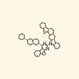 c1ccc(-c2ccc3cc(-c4nc(-n5c6ccccc6c6cc7ccc8c9ccccc9sc8c7cc65)nc5oc6ccccc6c45)ccc3c2)cc1